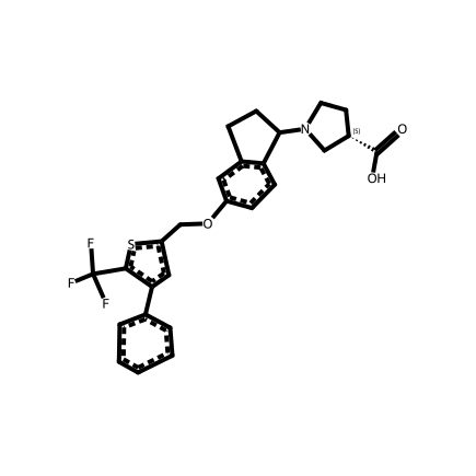 O=C(O)[C@H]1CCN(C2CCc3cc(OCc4cc(-c5ccccc5)c(C(F)(F)F)s4)ccc32)C1